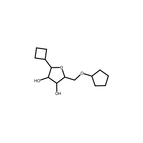 OC1C(COC2CCCC2)OC(C2CCC2)C1O